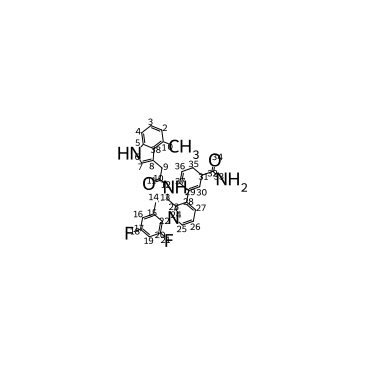 Cc1cccc2[nH]cc(CC(=O)N[C@@H](Cc3cc(F)cc(F)c3)c3ncccc3C3=CC(C(N)=O)CC=C3)c12